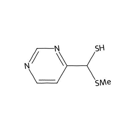 CSC(S)c1ccncn1